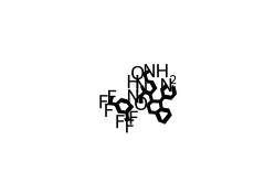 NC(=O)c1ccc(C2CCc3ccccc3C2c2cccnc2)c(C(=O)Nc2cc(C(F)(F)F)cc(C(F)(F)F)c2)n1